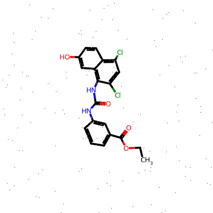 CCOC(=O)c1cccc(NC(=O)Nc2c(Cl)cc(Cl)c3ccc(O)cc23)c1